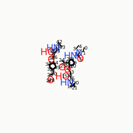 CCN(CC)C(=O)Nc1ccc(OCC(O)CNC(C)(C)C)c(C(C)=O)c1.COCCc1ccc(OCC(O)CNC(C)C)cc1